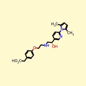 Cc1ccc(C)n1-c1ccc([C@H](O)CNCCOc2ccc(CC(=O)O)cc2)cn1